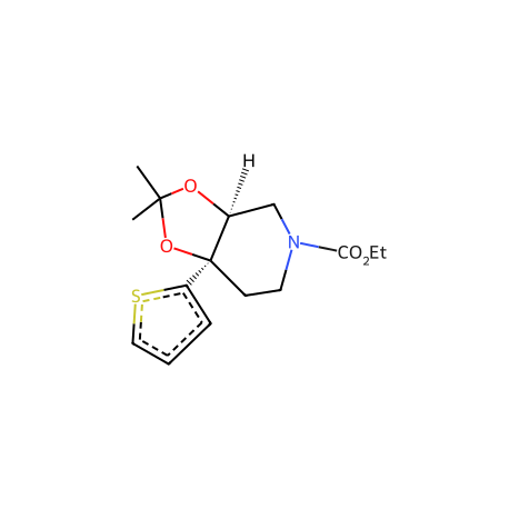 CCOC(=O)N1CC[C@@]2(c3cccs3)OC(C)(C)O[C@H]2C1